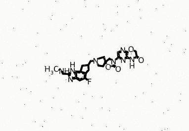 CNCc1nc2cc(F)c3c(c2[nH]1)CC(CN1CCC2(CC1)CN(c1cnc4c(n1)NC(=O)CO4)C(=O)O2)C3